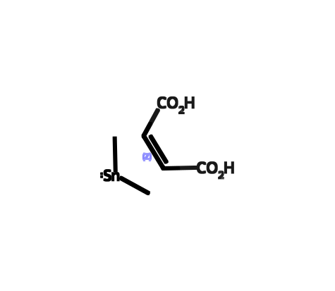 O=C(O)/C=C\C(=O)O.[CH3][Sn][CH3]